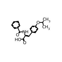 CC(C)Oc1ccc(C=C(NC(=O)c2ccccc2)C(=O)O)cc1